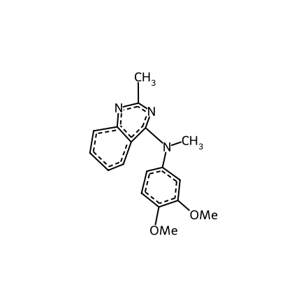 COc1ccc(N(C)c2nc(C)nc3ccccc23)cc1OC